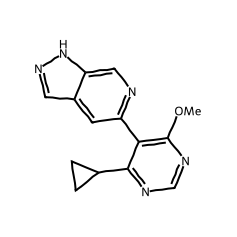 COc1ncnc(C2CC2)c1-c1cc2cn[nH]c2cn1